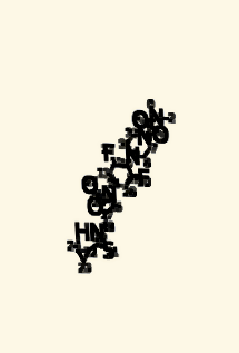 CN(C)S(=O)(=O)N1CCN(c2c(F)cc(N3CC(CNC(=S)C4CC4)OC3=O)cc2F)CC1